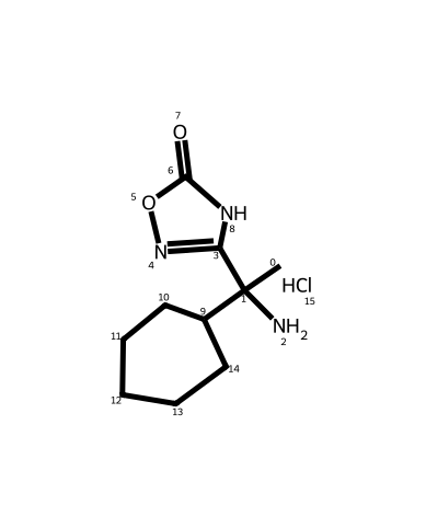 CC(N)(c1noc(=O)[nH]1)C1CCCCC1.Cl